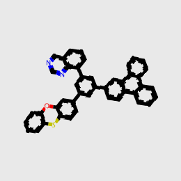 c1ccc2c(c1)Oc1cc(-c3cc(-c4ccc5c6ccccc6c6ccccc6c5c4)cc(-c4cccc5cncnc45)c3)ccc1S2